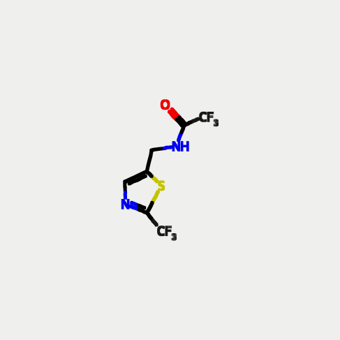 O=C(NCc1cnc(C(F)(F)F)s1)C(F)(F)F